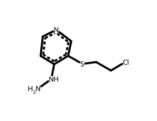 NNc1ccncc1SCCCl